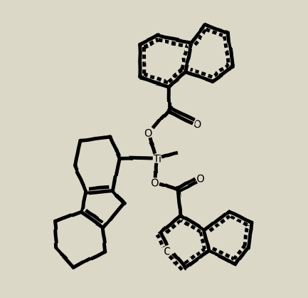 [CH3][Ti]([O]C(=O)c1cccc2ccccc12)([O]C(=O)c1cccc2ccccc12)[CH]1CCCC2=C1CC1=C2CCCC1